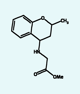 COC(=O)CNC1CC(C)Oc2ccccc21